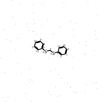 c1ccc(SCSc2ccccc2)cc1